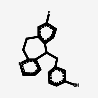 Oc1cccc(CC2c3ccc(F)cc3CCc3ncccc32)c1